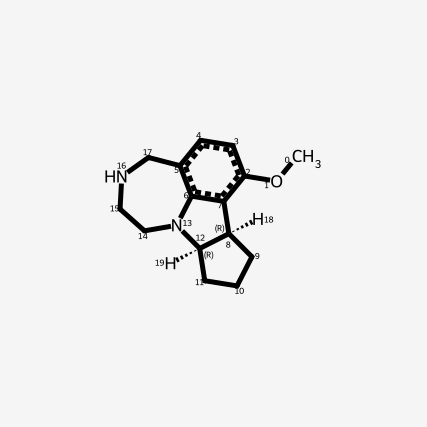 COc1ccc2c3c1[C@H]1CCC[C@H]1N3CCNC2